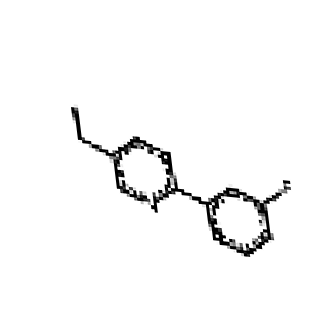 CCc1ccc(-c2cccc(F)c2)nc1